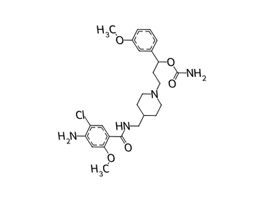 COc1cccc(C(CCN2CCC(CNC(=O)c3cc(Cl)c(N)cc3OC)CC2)OC(N)=O)c1